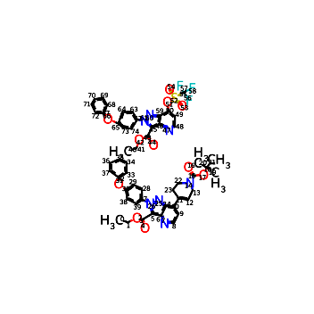 CCOC(=O)c1c2nccc(C3=CCN(C(=O)OC(C)(C)C)CC3)c2nn1-c1ccc(Oc2ccccc2)cc1.CCOC(=O)c1c2nccc(OS(=O)(=O)C(F)(F)F)c2nn1-c1ccc(Oc2ccccc2)cc1